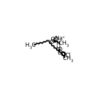 CCCCCCCC/C=C\CCCCCCCC(=O)Oc1ccc(Cl)c(C)c1.CNCCS(=O)(=O)[O-].[Na+]